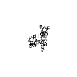 CCOC(=O)n1nc(NC(=O)c2c(F)cccc2[N+](=O)[O-])c2c1CCN(S(=O)(=O)c1cc(F)cc(F)c1)C2